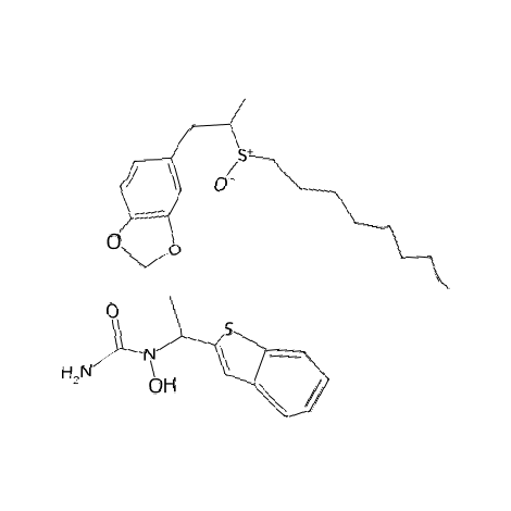 CC(c1cc2ccccc2s1)N(O)C(N)=O.CCCCCCCC[S+]([O-])C(C)Cc1ccc2c(c1)OCO2